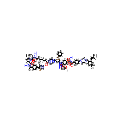 CCC1(C)CC1C1=C(CN2CCN(c3ccc(C(=O)NS(=O)(=O)c4ccc(NC(CCN5CCN(C(=O)CCCCCC(=O)NC(C(=O)N6CCCC6C(=O)NC(C)c6ccc(-c7scnc7C)cc6)C(C)(C)C)CC5)CSc5ccccc5)c(S(=O)(=O)C(F)(F)F)c4)cc3)CC2)CCC(C)(C)C1